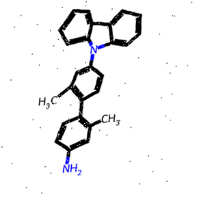 Cc1cc(N)ccc1-c1ccc(-n2c3ccccc3c3ccccc32)cc1C